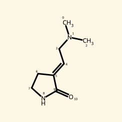 CN(C)C/C=C1\CCNC1=O